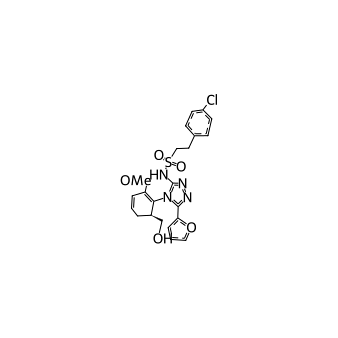 COC1=C(n2c(NS(=O)(=O)CCc3ccc(Cl)cc3)nnc2-c2ccco2)[C@@H](CO)CC=C1